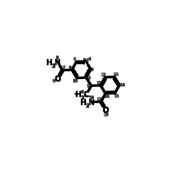 [CH2]C(c1cncc(C(N)=O)c1)c1ccccc1C(N)=O